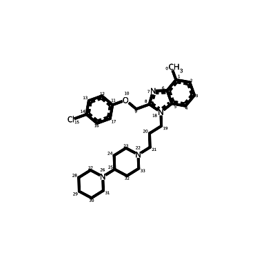 Cc1cccc2c1nc(COc1ccc(Cl)cc1)n2CCCN1CCC(N2CCCCC2)CC1